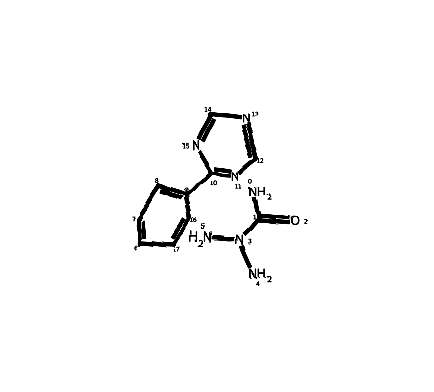 NC(=O)N(N)N.c1ccc(-c2ncncn2)cc1